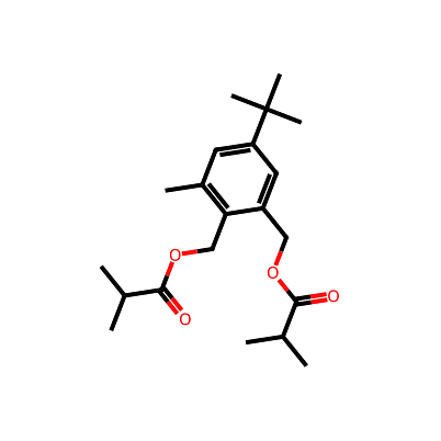 Cc1cc(C(C)(C)C)cc(COC(=O)C(C)C)c1COC(=O)C(C)C